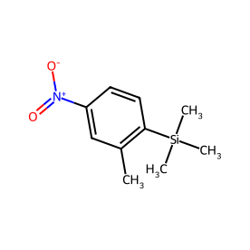 Cc1cc([N+](=O)[O-])ccc1[Si](C)(C)C